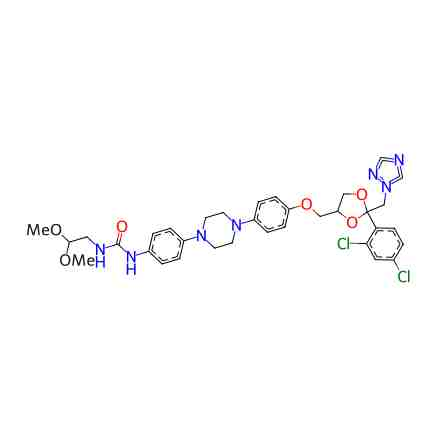 COC(CNC(=O)Nc1ccc(N2CCN(c3ccc(OCC4COC(Cn5cncn5)(c5ccc(Cl)cc5Cl)O4)cc3)CC2)cc1)OC